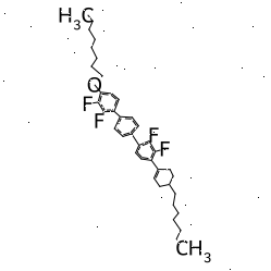 CCCCCCCCOc1ccc(-c2ccc(-c3ccc(C4=CCC(CCCCCCC)CC4)c(F)c3F)cc2)c(F)c1F